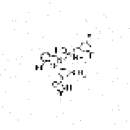 CCc1cccc(CN(C[C@@H](O)[C@@H](N)Cc2cc(F)cc(F)c2)C(=O)c2cc(C)cc(C(=O)NC(C)C)c2)c1